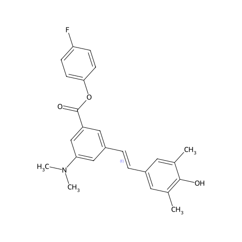 Cc1cc(/C=C/c2cc(C(=O)Oc3ccc(F)cc3)cc(N(C)C)c2)cc(C)c1O